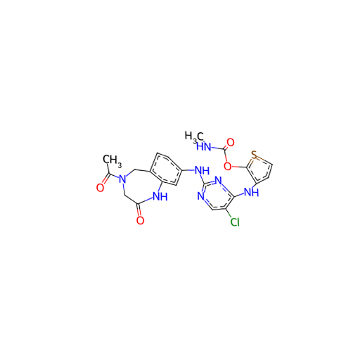 CNC(=O)Oc1sccc1Nc1nc(Nc2ccc3c(c2)NC(=O)CN(C(C)=O)C3)ncc1Cl